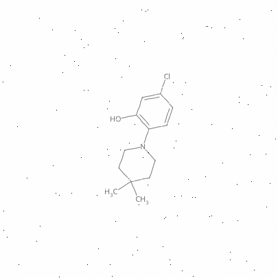 CC1(C)CCN(c2ccc(Cl)cc2O)CC1